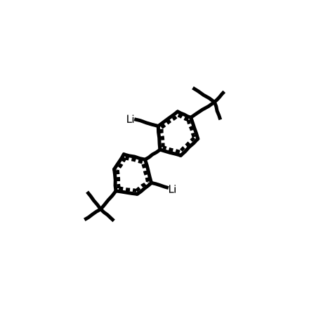 [Li][c]1cc(C(C)(C)C)ccc1-c1ccc(C(C)(C)C)c[c]1[Li]